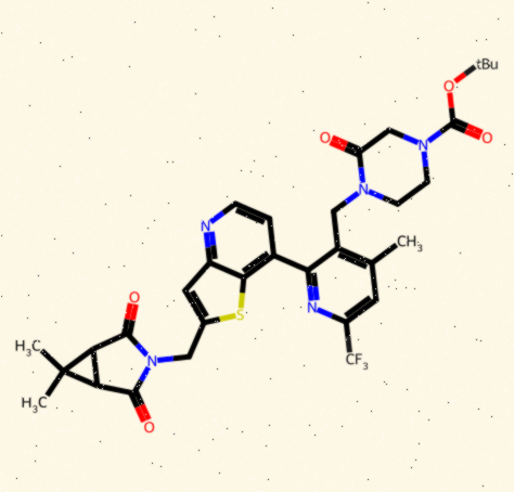 Cc1cc(C(F)(F)F)nc(-c2ccnc3cc(CN4C(=O)C5C(C4=O)C5(C)C)sc23)c1CN1CCN(C(=O)OC(C)(C)C)CC1=O